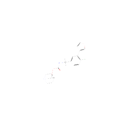 CC(C)(NC(=O)OC1CN2CCC1CC2)c1ccc(F)c(-c2ccoc2)c1